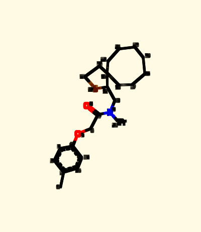 Cc1ccc(OCC(=O)N(CC2SCCC23CCCCCCC3)C(C)C)cc1